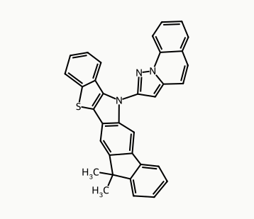 CC1(C)c2ccccc2-c2cc3c(cc21)c1sc2ccccc2c1n3-c1cc2ccc3ccccc3n2n1